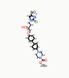 CC(C)(C)OC(=O)N1CCN(c2ccc(-c3ccc(OC[C@@H](O)CCn4cc([N+](=O)[O-])nc4Cl)cc3)cc2)CC1